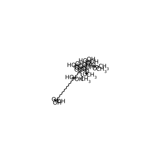 CCCC[C@@H](CCC[C@H](O)[C@H](O)CCCCCCCCCCCCCC[C@@H](O)C(=O)O)OC1OC[C@H](O)[C@@H](O)[C@@H]1O[C@H]1OC[C@H](OC(C)=O)[C@@H](O)[C@@H]1O[C@H]1O[C@@H](COC(=O)CC(C)C)[C@H](O)[C@@H](O)[C@@H]1O